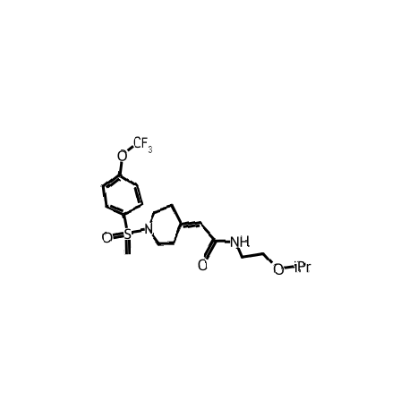 C=S(=O)(c1ccc(OC(F)(F)F)cc1)N1CCC(=CC(=O)NCCOC(C)C)CC1